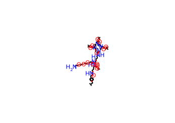 CC(C)Cc1ccc(CC(=O)NCCCCC(NC(=O)C(CCCCNC(=O)CN2CCN(CC(=O)OC(C)(C)C)CCN(CC(=O)OC(C)(C)C)CCN(CC(=O)OC(C)(C)C)CC2)NC(=O)CCOCCOCCOCCN)C(=O)OC(C)(C)C)cc1